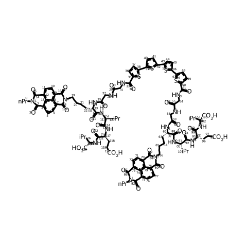 CCCN1C(=O)c2ccc3c4c(ccc(c24)C1=O)C(=O)N(CCCC[C@H](NC(=O)CNC(=O)CNC(=O)c1ccc(-c2ccc(-c4ccc(-c5ccc(C(=O)NCC(=O)NCC(=O)N[C@@H](CCCCN6C(=O)c7ccc8c9c(ccc(c79)C6=O)C(=O)N(CCC)C8=O)C(=O)N[C@H](C(=O)N[C@@H](CCC(=O)O)C(=O)N[C@H](C(=O)O)C(C)C)C(C)C)s5)s4)s2)s1)C(=O)N[C@H](C(=O)N[C@@H](CCC(=O)O)C(=O)N[C@H](C(=O)O)C(C)C)C(C)C)C3=O